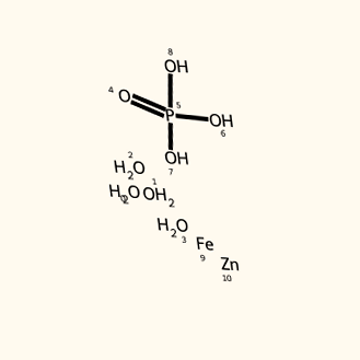 O.O.O.O.O=P(O)(O)O.[Fe].[Zn]